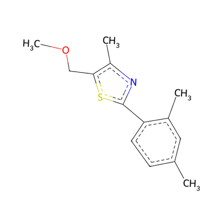 COCc1sc(-c2ccc(C)cc2C)nc1C